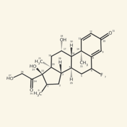 CC1C[C@H]2[C@@H]3CC(F)C4=CC(=O)C=C[C@]4(C)[C@H]3[C@@H](O)C[C@]2(C)[C@@]1(O)C(=O)CO